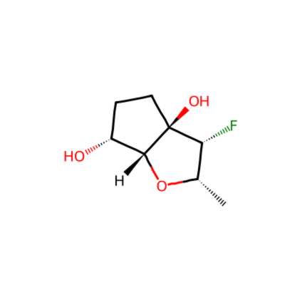 C[C@@H]1O[C@@H]2[C@H](O)CC[C@]2(O)[C@@H]1F